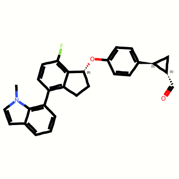 Cn1ccc2cccc(-c3ccc(F)c4c3CC[C@H]4Oc3ccc([C@H]4C[C@@H]4C=O)cc3)c21